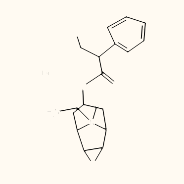 Br.NC[N+]1([O-])C2CC(OC(=O)C(CO)c3ccccc3)CC1C1OC12